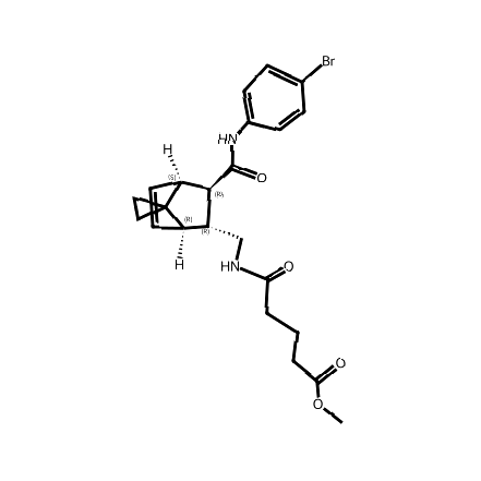 COC(=O)CCCC(=O)NC[C@H]1[C@H](C(=O)Nc2ccc(Br)cc2)[C@@H]2C=C[C@H]1C21CC1